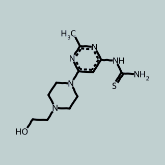 Cc1nc(NC(N)=S)cc(N2CCN(CCO)CC2)n1